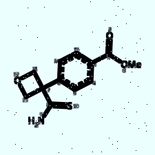 COC(=O)c1ccc(C2(C(N)=S)COC2)cc1